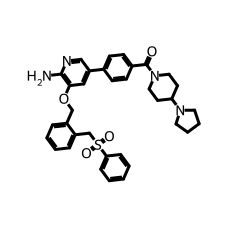 Nc1ncc(-c2ccc(C(=O)N3CCC(N4CCCC4)CC3)cc2)cc1OCc1ccccc1CS(=O)(=O)c1ccccc1